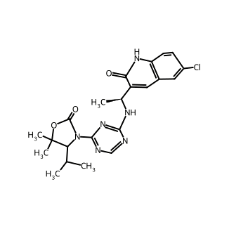 CC(C)C1N(c2ncnc(N[C@@H](C)c3cc4cc(Cl)ccc4[nH]c3=O)n2)C(=O)OC1(C)C